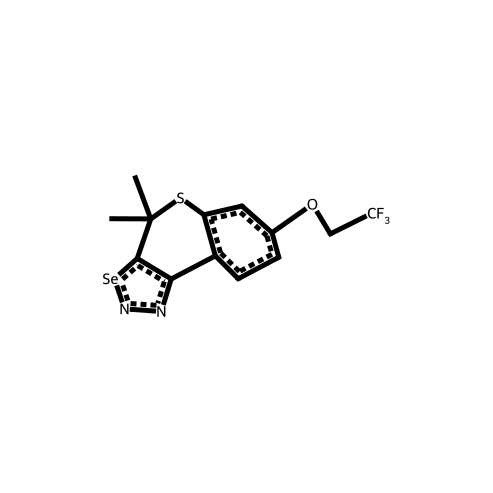 CC1(C)Sc2cc(OCC(F)(F)F)ccc2-c2nn[se]c21